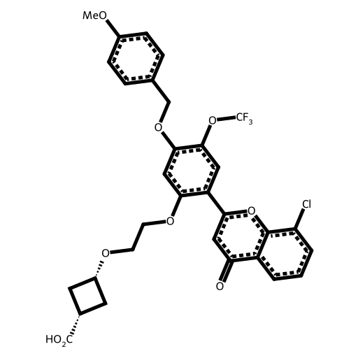 COc1ccc(COc2cc(OCCO[C@H]3C[C@@H](C(=O)O)C3)c(-c3cc(=O)c4cccc(Cl)c4o3)cc2OC(F)(F)F)cc1